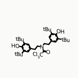 CC(C)(C)c1cc(CCN(CCc2cc(C(C)(C)C)c(O)c(C(C)(C)C)c2)C(=O)C(Cl)(Cl)Cl)cc(C(C)(C)C)c1O